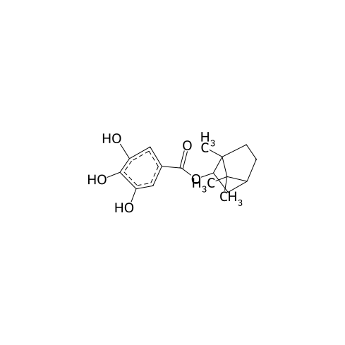 CC1(C)C2CCC1(C)C(OC(=O)c1cc(O)c(O)c(O)c1)C2